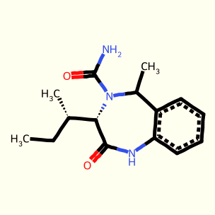 CC[C@H](C)[C@H]1C(=O)Nc2ccccc2C(C)N1C(N)=O